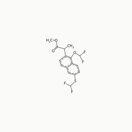 COC(=O)C(C)c1ccc2cc(SC(F)F)ccc2c1OC(F)F